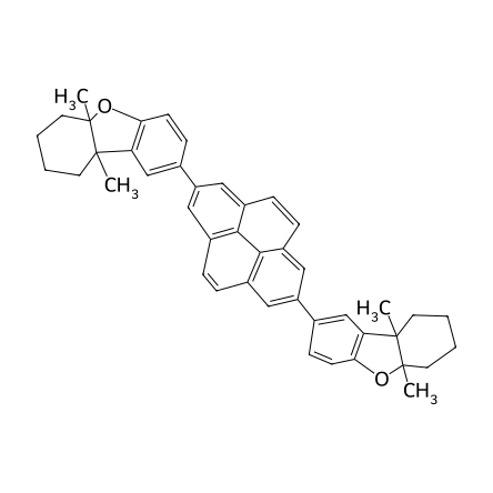 CC12CCCCC1(C)c1cc(-c3cc4ccc5cc(-c6ccc7c(c6)C6(C)CCCCC6(C)O7)cc6ccc(c3)c4c56)ccc1O2